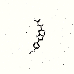 CCOc1ccc(-c2cn3ccc(N(C)OC(C)=O)cc3n2)cc1